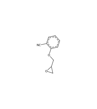 N#Cc1ccccc1OCC1CO1